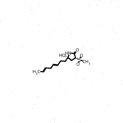 C/C=C/C/C=C/CC[C@]1(O)C[C@H](S(C)(=O)=O)C(=O)N1